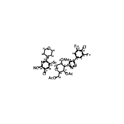 COC1C(n2cc(-c3cc(F)c(Cl)c(F)c3)nn2)[C@@H](OC(C)=O)C(COC(C)=O)O[C@@H]1Sc1cc(Cl)c(C#N)nc1N1CCOCC1